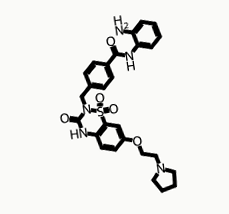 Nc1ccccc1NC(=O)c1ccc(CN2C(=O)Nc3ccc(OCCN4CCCC4)cc3S2(=O)=O)cc1